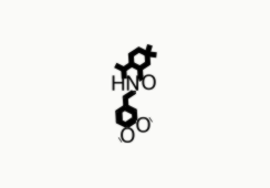 COc1ccc(CCNC(=O)C2CC(C)(C)CCC2C(C)C)cc1OC